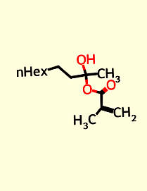 C=C(C)C(=O)OC(C)(O)CCCCCCCC